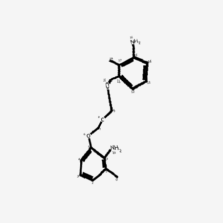 Cc1cccc(OCCCOc2cccc(N)c2C)c1N